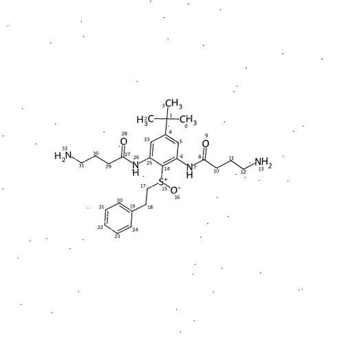 CC(C)(C)c1cc(NC(=O)CCCN)c([S+]([O-])CCc2ccccc2)c(NC(=O)CCCN)c1